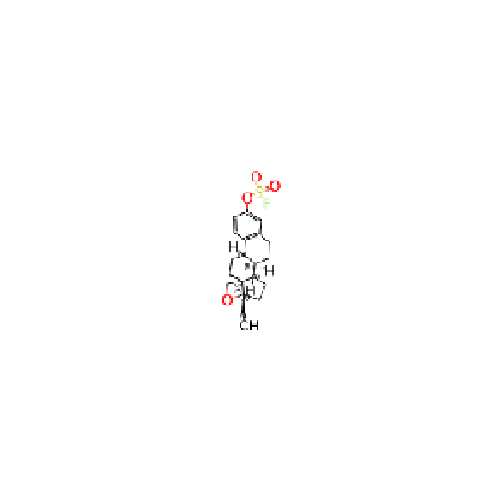 C#C[C@]12CC[C@H]3[C@@H]4CCc5cc(OS(=O)(=O)F)ccc5[C@H]4CC[C@@]31CO2